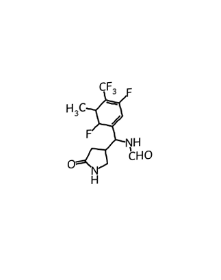 CC1C(C(F)(F)F)=C(F)C=C(C(NC=O)C2CNC(=O)C2)C1F